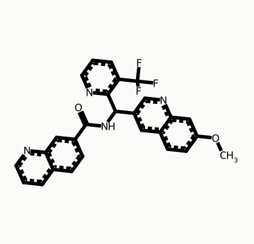 COc1ccc2cc(C(NC(=O)c3ccc4cccnc4c3)c3ncccc3C(F)(F)F)cnc2c1